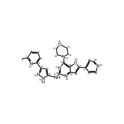 Cc1cccc(-c2cc(Nc3nc(N4CCOCC4)c4oc(-c5ccncc5)cc4n3)[nH]n2)n1